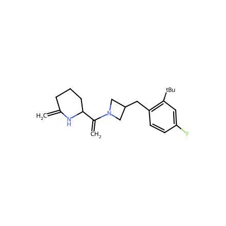 C=C1CCCC(C(=C)N2CC(Cc3ccc(F)cc3C(C)(C)C)C2)N1